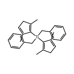 CC1=CCC(C)=[C]1[Ti]([CH2]c1ccccc1)([CH2]c1ccccc1)[C]1=C(C)CC=C1C